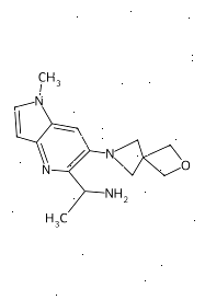 CC(N)c1nc2ccn(C)c2cc1N1CC2(COC2)C1